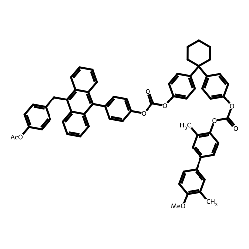 COc1ccc(-c2ccc(OC(=O)Oc3ccc(C4(c5ccc(OC(=O)Oc6ccc(-c7c8ccccc8c(Cc8ccc(OC(C)=O)cc8)c8ccccc78)cc6)cc5)CCCCC4)cc3)c(C)c2)cc1C